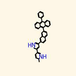 CC1C=CC(C2=CC(c3ccc4ccc(-c5c6ccccc6c(-c6ccccc6)c6ccccc56)cc4c3)=CNC2)=CN1